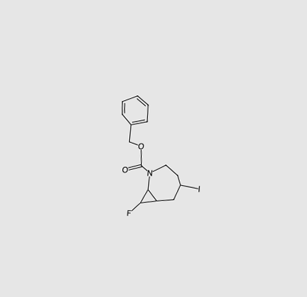 O=C(OCc1ccccc1)N1CCC(I)CC2C(F)C21